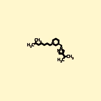 CC(C)CCCCCN1CCC[C@@H](Cn2cc(C(C)C)cn2)C1